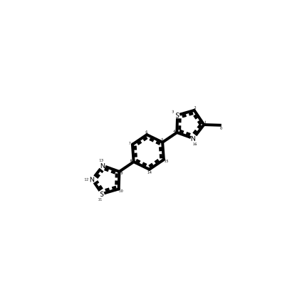 Cc1csc(-c2ccc(-c3csnn3)cc2)n1